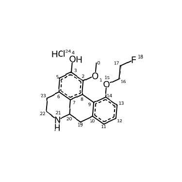 COc1c(O)cc2c3c1-c1c(cccc1OCCF)CC3NCC2.Cl